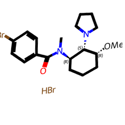 Br.CO[C@@H]1CCC[C@@H](N(C)C(=O)c2ccc(Br)cc2)[C@@H]1N1CCCC1